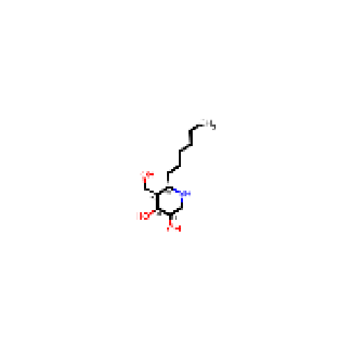 CCCCCC[C@H]1NC[C@@H](O)[C@@H](O)[C@H]1CO